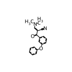 CN(C)C=C(C#N)C(=O)c1cccc(Oc2ccccc2)c1